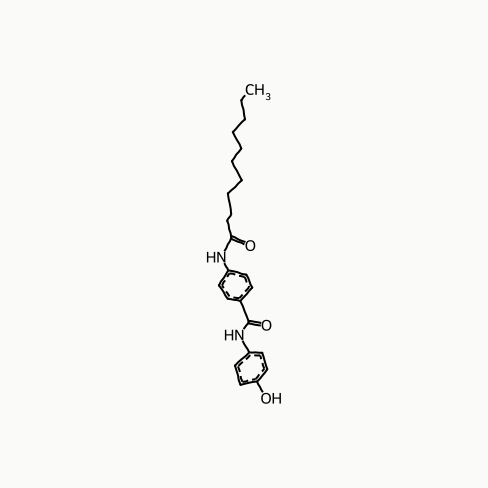 CCCCCCCCCCC(=O)Nc1ccc(C(=O)Nc2ccc(O)cc2)cc1